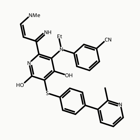 CCN(c1cccc(C#N)c1)c1c(C(=N)/C=C\NC)nc(O)c(Sc2ccc(-c3cccnc3C)cc2)c1O